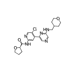 O=C(Nc1cc(-c2cncc(NCC3CCOCC3)n2)c(Cl)cn1)[C@H]1CCCO1